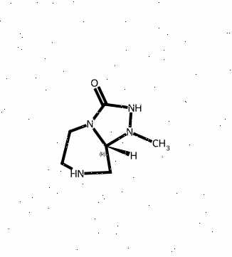 CN1NC(=O)N2CCNC[C@@H]12